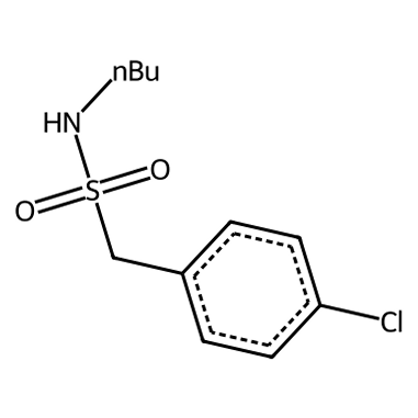 CCCCNS(=O)(=O)Cc1ccc(Cl)cc1